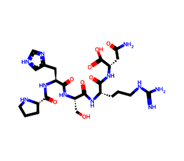 N=C(N)NCCC[C@H](NC(=O)[C@H](CO)NC(=O)[C@H](Cc1c[nH]cn1)NC(=O)[C@@H]1CCCN1)C(=O)N[C@@H](CC(N)=O)C(=O)O